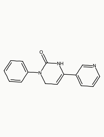 O=C1NC(c2cccnc2)=CCN1c1ccccc1